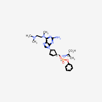 C[C@H](N[P@](=O)(OC[C@@H]1C=C[C@H](n2cnc3c(N(C)CCN(C)C)nc(N)nc32)C1)Oc1ccccc1)C(=O)O